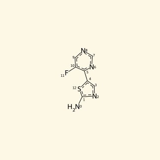 Nc1ncc(-c2ncncc2F)s1